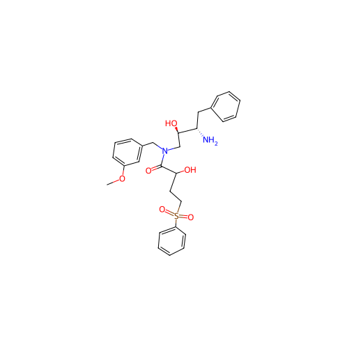 COc1cccc(CN(C[C@@H](O)[C@@H](N)Cc2ccccc2)C(=O)C(O)CCS(=O)(=O)c2ccccc2)c1